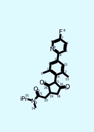 Cc1cc(-c2ccc(F)cn2)cc(C)c1C1C(=O)CC(CC(=O)N(C)C(C)C)C1=O